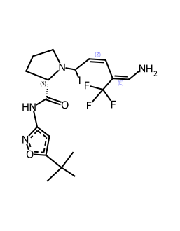 CC(C)(C)c1cc(NC(=O)[C@@H]2CCCN2C(I)/C=C\C(=C/N)C(F)(F)F)no1